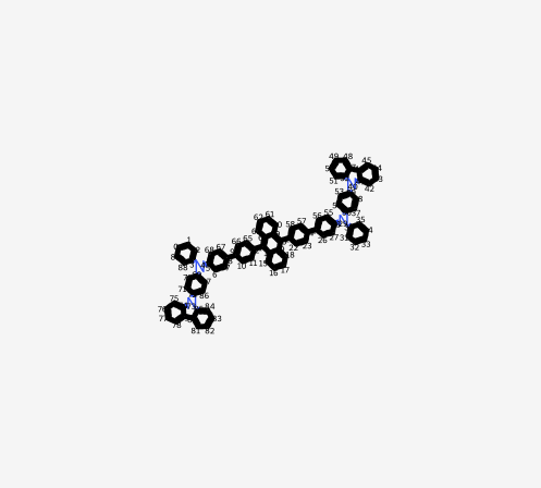 c1ccc(N(c2ccc(-c3ccc(-c4c5ccccc5c(-c5ccc(-c6ccc(N(c7ccccc7)c7ccc(-n8c9ccccc9c9ccccc98)cc7)cc6)cc5)c5ccccc45)cc3)cc2)c2ccc(-n3c4ccccc4c4ccccc43)cc2)cc1